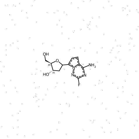 Nc1nc(F)nn2c(C3C[C@H](O)[C@@H](CO)O3)ccc12